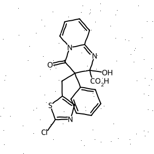 O=C(O)C1(O)N=C2C=CC=CN2C(=O)C1(Cc1cnc(Cl)s1)c1ccccc1